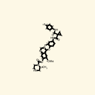 COc1cc2c(Oc3ccc(NC(=O)C4(C(=O)Nc5ccc(F)cc5)CC4)cc3F)ncnc2cc1OC(=O)N1CCNC[C@H]1C